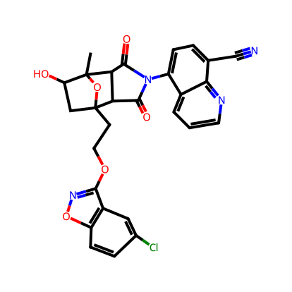 CC12OC(CCOc3noc4ccc(Cl)cc34)(CC1O)C1C(=O)N(c3ccc(C#N)c4ncccc34)C(=O)C12